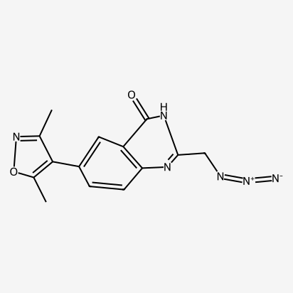 Cc1noc(C)c1-c1ccc2nc(CN=[N+]=[N-])[nH]c(=O)c2c1